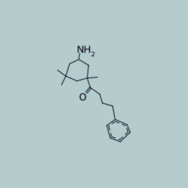 CC1(C)CC(N)CC(C)(C(=O)CCCc2ccccc2)C1